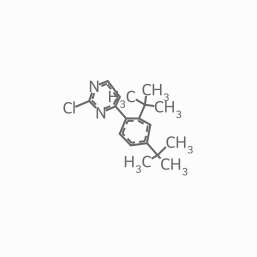 CC(C)(C)c1ccc(-c2ccnc(Cl)n2)c(C(C)(C)C)c1